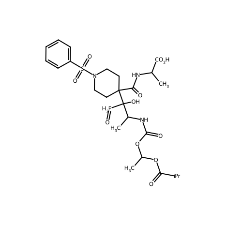 CC(OC(=O)NC(C)C(O)([PH2]=O)C1(C(=O)NC(C)C(=O)O)CCN(S(=O)(=O)c2ccccc2)CC1)OC(=O)C(C)C